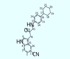 N#Cc1ccc2[nH]cc(CC(=O)CNc3ccc(C4CCCCC4)cc3)c2c1